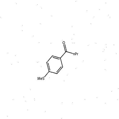 CCCC(=O)c1ccc(SC)cc1